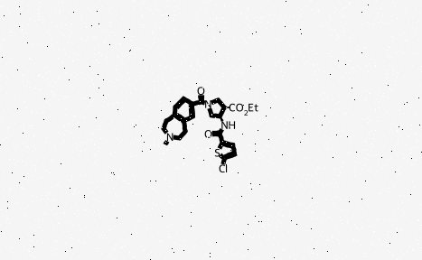 CCOC(=O)[C@H]1CN(C(=O)c2ccc3c(c2)CCN(C)CC3)C[C@@H]1NC(=O)c1ccc(Cl)s1